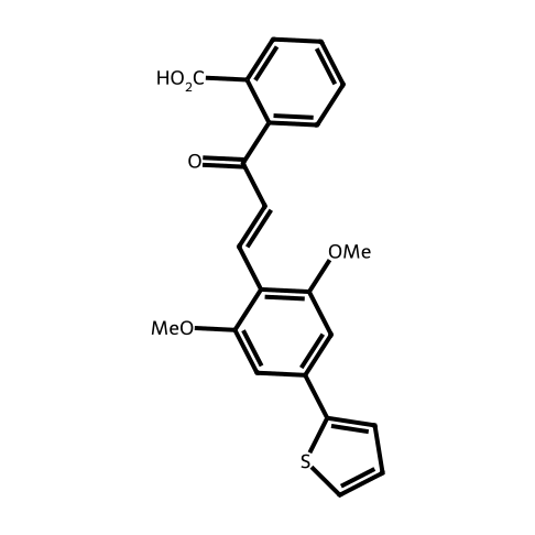 COc1cc(-c2cccs2)cc(OC)c1/C=C/C(=O)c1ccccc1C(=O)O